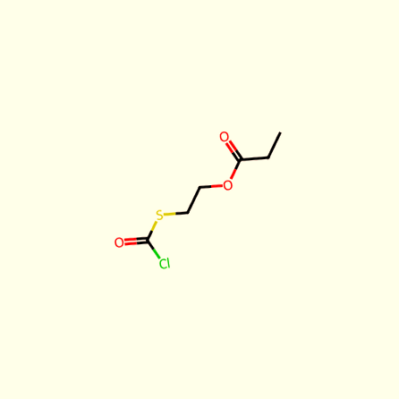 CCC(=O)OCCSC(=O)Cl